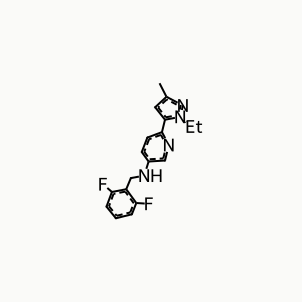 CCn1nc(C)cc1-c1ccc(NCc2c(F)cccc2F)cn1